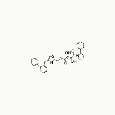 O=C(NCc1nc(Cc2ccccc2-c2ccccc2)cs1)[C@H](O)[C@@H](O)C(=O)N1CCCC1c1ccccc1